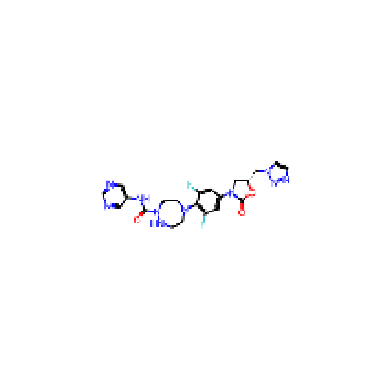 O=C(Nc1cncnc1)N1CCN(c2c(F)cc(N3C[C@H](Cn4ccnn4)OC3=O)cc2F)CCN1